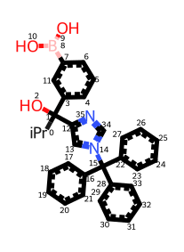 CC(C)C(O)(c1cccc(B(O)O)c1)c1cn(C(c2ccccc2)(c2ccccc2)c2ccccc2)cn1